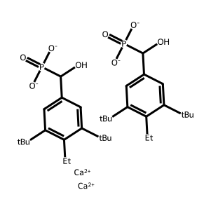 CCc1c(C(C)(C)C)cc(C(O)P(=O)([O-])[O-])cc1C(C)(C)C.CCc1c(C(C)(C)C)cc(C(O)P(=O)([O-])[O-])cc1C(C)(C)C.[Ca+2].[Ca+2]